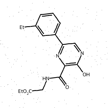 CCOC(=O)CNC(=O)c1nc(-c2cccc(CC)c2)cnc1O